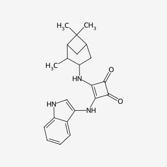 CC1C(Nc2c(Nc3c[nH]c4ccccc34)c(=O)c2=O)CC2CC1C2(C)C